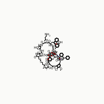 COc1cc2cc(c1Cl)N(C)C(=O)C[C@H](OC(=O)[C@H](C)N(C)C(=O)CCSSC[C@H](NC(=O)[C@@H]1CSSC[C@H](NC(=O)[C@@H](Cc3ccccc3)NC(=O)NCCC(c3ccccc3)c3ccccc3)C(=O)N[C@@H](Cc3ccc(O)cc3)C(=O)N[C@H](Cc3c[nH]c4ccccc34)C(=O)N[C@@H](CCCCN)C(=O)N[C@@H]([C@@H](C)O)C(=O)N1)C(N)=O)[C@]1(C)O[C@H]1[C@H](C)[C@@H]1C[C@@](O)(NC(=O)O1)[C@H](OC)/C=C/C=C(\C)C2